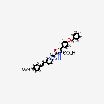 COc1ccc(/C=C/c2ccc3nc(C(=O)N[C@@H](Cc4ccc(OCc5ccccc5)cc4)C(=O)O)cn3c2)cc1